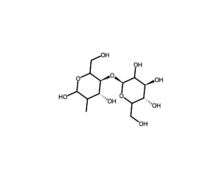 CC1C(O)OC(CO)[C@@H](O[C@@H]2OC(CO)[C@@H](O)[C@H](O)C2O)[C@@H]1O